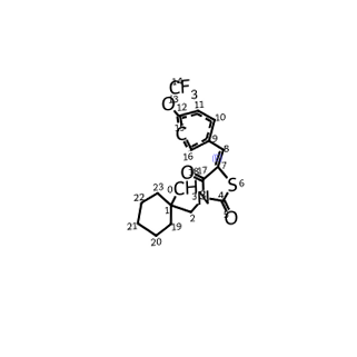 CC1(CN2C(=O)S/C(=C/c3ccc(OC(F)(F)F)cc3)C2=O)CCCCC1